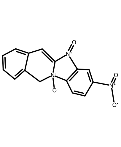 O=[N+]([O-])c1ccc2c(c1)[N+](=O)C1=Cc3ccccc3C[N+]12[O-]